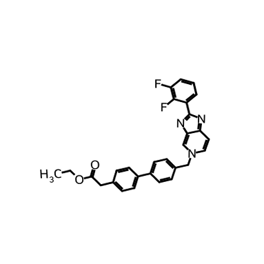 CCOC(=O)Cc1ccc(-c2ccc(Cn3ccc4nc(-c5cccc(F)c5F)nc-4c3)cc2)cc1